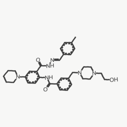 Cc1ccc(C=NNC(=O)c2cc(N3CCCCC3)ccc2NC(=O)c2cccc(CN3CCN(CCO)CC3)c2)cc1